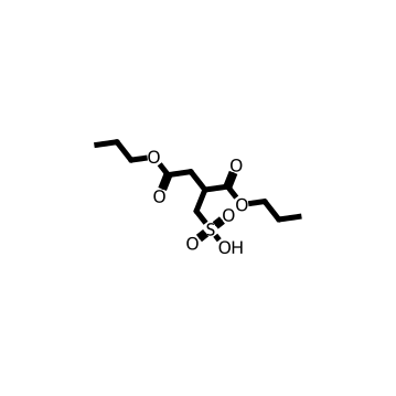 CCCOC(=O)CC(CS(=O)(=O)O)C(=O)OCCC